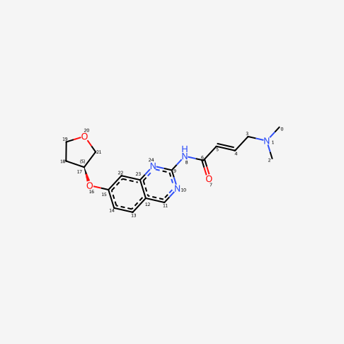 CN(C)CC=CC(=O)Nc1ncc2ccc(O[C@H]3CCOC3)cc2n1